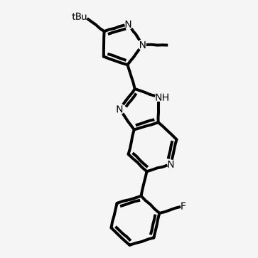 Cn1nc(C(C)(C)C)cc1-c1nc2cc(-c3ccccc3F)ncc2[nH]1